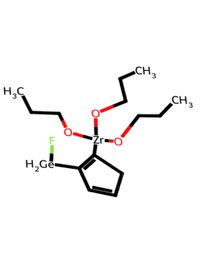 CCC[O][Zr]([O]CCC)([O]CCC)[C]1=[C]([GeH2][F])C=CC1